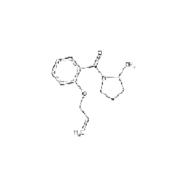 C=CCOc1ccccc1C(=O)N1CCCC1C